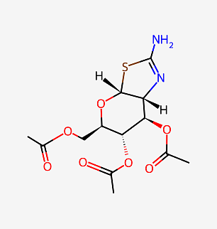 CC(=O)OC[C@H]1O[C@@H]2SC(N)=N[C@@H]2[C@@H](OC(C)=O)[C@@H]1OC(C)=O